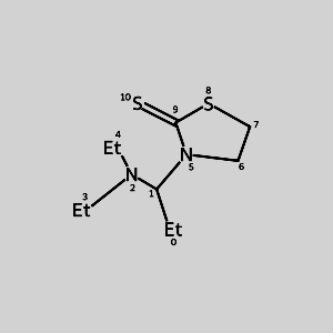 CCC(N(CC)CC)N1CCSC1=S